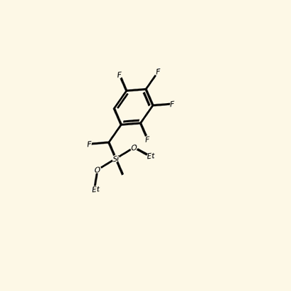 CCO[Si](C)(OCC)C(F)c1cc(F)c(F)c(F)c1F